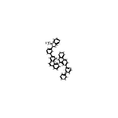 Cn1c(-c2cccc(-c3cc(-c4cc5cc(-c6cc(-c7ccccc7)ccn6)ccc5c5ccccc45)c4c(ccc5ccccc54)c3)c2)nc2ccccc21